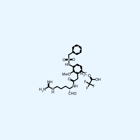 COc1c(NS(=O)(=O)Cc2ccccc2)ccc(C)c1CC(=O)N[C@H](C=O)CCCNC(=N)N.O=C(O)C(F)(F)F